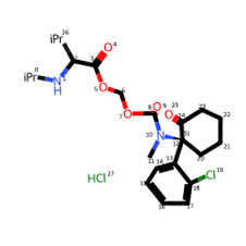 CC(C)NC(C(=O)OCOC(=O)N(C)[C@]1(c2ccccc2Cl)CCCCC1=O)C(C)C.Cl